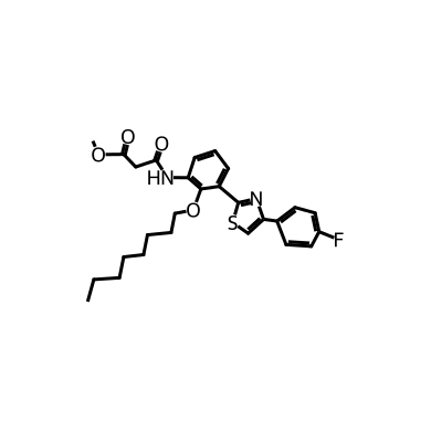 CCCCCCCCOc1c(NC(=O)CC(=O)OC)cccc1-c1nc(-c2ccc(F)cc2)cs1